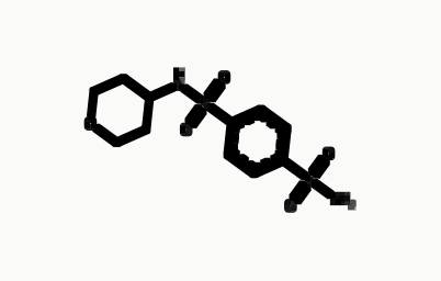 NS(=O)(=O)c1ccc(S(=O)(=O)NC2CCOCC2)cc1